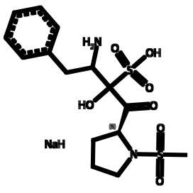 CS(=O)(=O)N1CCC[C@H]1C(=O)C(O)(C(N)Cc1ccccc1)S(=O)(=O)O.[NaH]